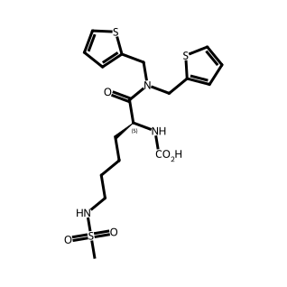 CS(=O)(=O)NCCCC[C@H](NC(=O)O)C(=O)N(Cc1cccs1)Cc1cccs1